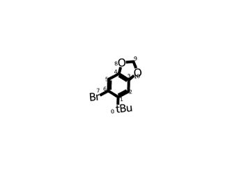 CC(C)(C)c1cc2c(cc1Br)OCO2